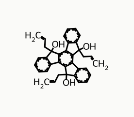 C=CCC1(O)c2ccccc2-c2c1c1c(c3c2C(O)(CC=C)c2ccccc2-3)C(O)(CC=C)c2ccccc2-1